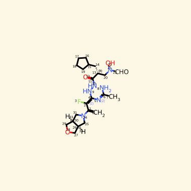 C=C(/C(F)=C(\N=C(\C)N)NNC(=O)[C@H](CC1CCCC1)CN(O)C=O)N1C[C@H]2COC[C@H]2C1